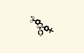 COC(=O)c1ccc(CN(C(=O)N2CCSCC2)c2ccc(C(C)(C)C)cc2)cc1